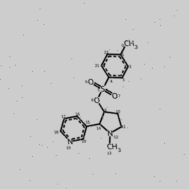 Cc1ccc(S(=O)(=O)OC2CCN(C)C2c2cccnc2)cc1